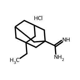 CCC12CC3CC(C1)CC(C(=N)N)(C3)C2.Cl